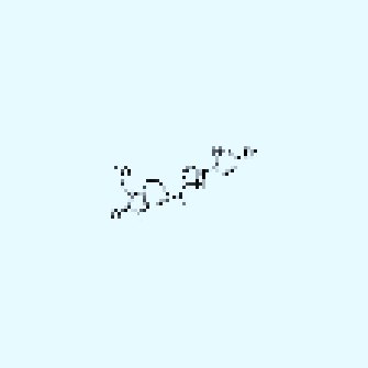 COCn1c(=O)sc2cc(C(C)c3ccn(-c4ccc(Br)cn4)n3)ccc21